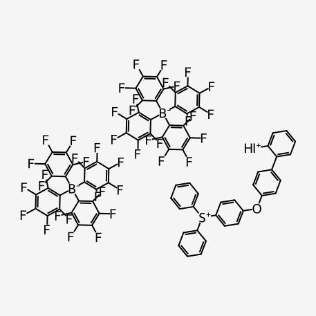 Fc1c(F)c(F)c([B-](c2c(F)c(F)c(F)c(F)c2F)(c2c(F)c(F)c(F)c(F)c2F)c2c(F)c(F)c(F)c(F)c2F)c(F)c1F.Fc1c(F)c(F)c([B-](c2c(F)c(F)c(F)c(F)c2F)(c2c(F)c(F)c(F)c(F)c2F)c2c(F)c(F)c(F)c(F)c2F)c(F)c1F.[IH+]c1ccccc1-c1ccc(Oc2ccc([S+](c3ccccc3)c3ccccc3)cc2)cc1